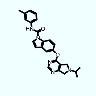 Cc1cccc(NC(=O)n2ccc3cc(Oc4ncnc5c4CN(C(C)C)C5)ccc32)c1